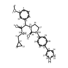 COc1cccc(C(C(=O)NCC2CC2)N2CCN(c3ccc(-c4cn[nH]c4)cc3)C2=O)c1